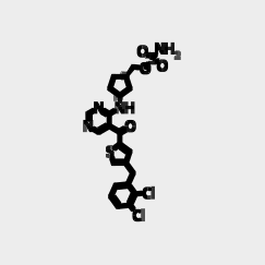 NS(=O)(=O)OC[C@@H]1CC[C@H](Nc2ncncc2C(=O)c2cc(Cc3cccc(Cl)c3Cl)cs2)C1